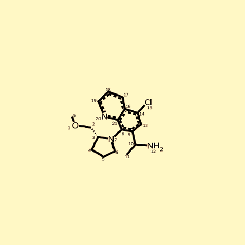 COC[C@H]1CCCN1c1c(C(C)N)cc(Cl)c2cccnc12